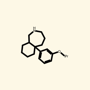 CC(C)Oc1cccc(C23CCCCC2CNCCC3)c1